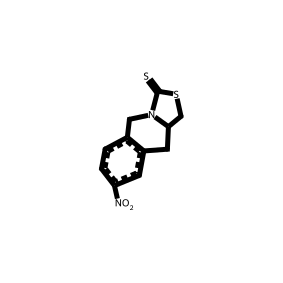 O=[N+]([O-])c1ccc2c(c1)CC1CSC(=S)N1C2